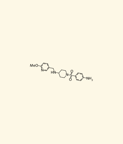 COc1ccc(CNC2CCN(S(=O)(=O)c3ccc(N)cc3)CC2)cn1